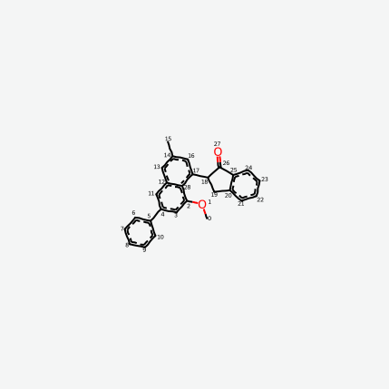 COc1cc(-c2ccccc2)cc2cc(C)cc(C3Cc4ccccc4C3=O)c12